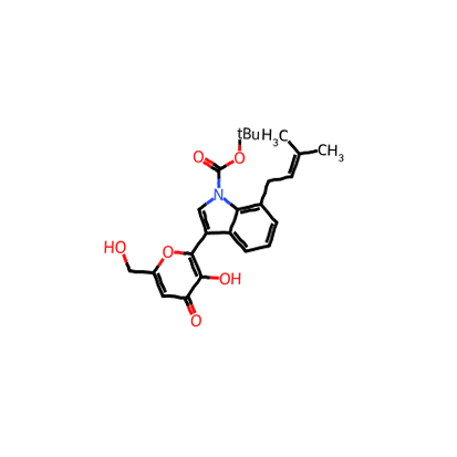 CC(C)=CCc1cccc2c(-c3oc(CO)cc(=O)c3O)cn(C(=O)OC(C)(C)C)c12